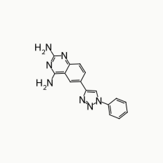 Nc1nc(N)c2cc(-c3cn(-c4ccccc4)nn3)ccc2n1